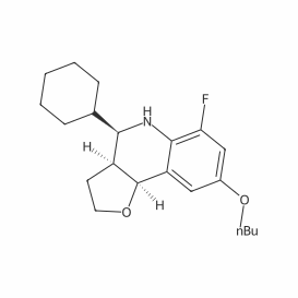 CCCCOc1cc(F)c2c(c1)[C@H]1OCC[C@H]1[C@@H](C1CCCCC1)N2